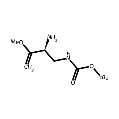 C=C(OC)[C@@H](N)CNC(=O)OC(C)(C)C